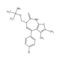 Cc1sc2c(c1C)C(c1ccc(Cl)cc1)=NC(CO[Si](C)(C)C(C)(C)C)C(=S)N2